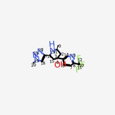 C[C@H]1C[C@@](O)(c2ccc(C(F)(F)F)nc2)C[C@@H](c2cn(C)nn2)N1